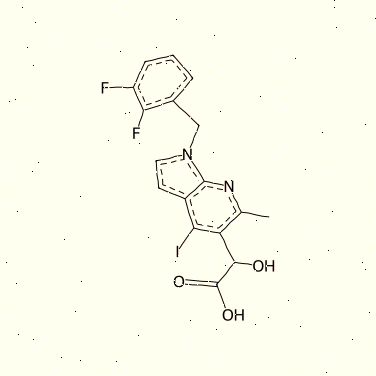 Cc1nc2c(ccn2Cc2cccc(F)c2F)c(I)c1C(O)C(=O)O